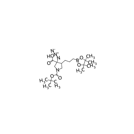 CC(C)(C)OC(=O)N1CC(CCCB2OC(C)(C)C(C)(C)O2)C(N=[N+]=[N-])(C(=O)O)C1